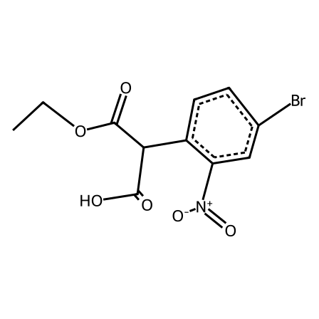 CCOC(=O)C(C(=O)O)c1ccc(Br)cc1[N+](=O)[O-]